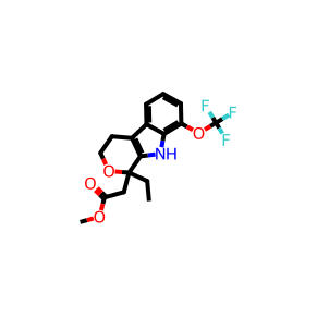 CCC1(CC(=O)OC)OCCc2c1[nH]c1c(OC(F)(F)F)cccc21